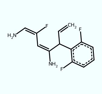 C=CC(/C(N)=C\C(F)=C/N)c1c(F)cccc1F